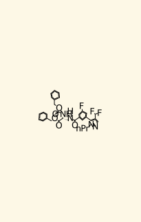 CCCn1ncc(C(F)F)c1-c1cc(F)cc(C(=O)NC[C@@H](NC(=O)OCc2ccccc2)C(=O)OCc2ccccc2)c1